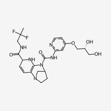 CC(F)(F)CNC(=O)C1C=CC2=C(N1)N(C(=O)Nc1cc(OC[C@H](O)CO)ccn1)C1CCN2C1